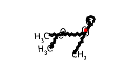 CCCCCCCCCC(CCCCCCCCC(=O)OCC(CCCC)CCCCCC)OC(=O)CCCN1CCCCCCC1